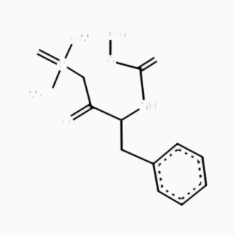 COP(=O)(CC(=O)C(Cc1ccccc1)NC(=O)OC(C)(C)C)OC